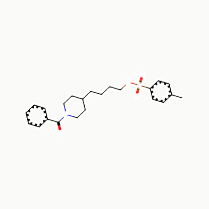 Cc1ccc(S(=O)(=O)OCCCCC2CCN(C(=O)c3ccccc3)CC2)cc1